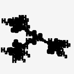 COC(=O)C1=C[C@H](NC(=N)N)[C@@H](NC(C)=O)[C@H]([C@H](OC(=O)NCCCCCCNC(=O)c2cc(C(=O)NCCCCCCNC(=O)O[C@@H]([C@@H]3OC(C(=O)OC)=C[C@H](NC(=N)N)[C@H]3NC(C)=O)[C@H]3COC(=O)O3)cc(C(=O)NCCCCCCNC(=O)O[C@H](C3COC(=O)O3)[C@@H]3OC(C(=O)OC)=C[C@H](NC(=N)N)[C@H]3NC(C)=O)c2)[C@H]2COC(=O)O2)O1